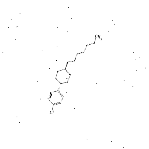 CCCCCCC[C@H]1CC[C@H](c2ccc(Cl)cc2)CC1